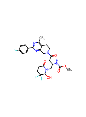 CC(C)(C)OC(=O)NC(CC(=O)N1CCc2c(nc(-c3ccc(F)cc3)nc2C(F)(F)F)C1)CN1C(=O)CCC(F)(F)[C@@H]1O